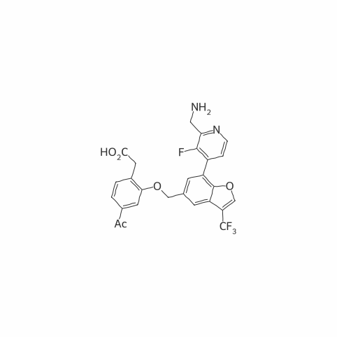 CC(=O)c1ccc(CC(=O)O)c(OCc2cc(-c3ccnc(CN)c3F)c3occ(C(F)(F)F)c3c2)c1